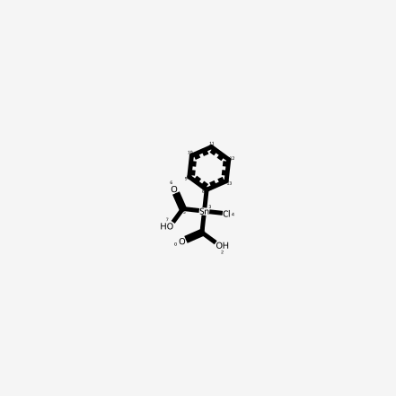 O=[C](O)[Sn]([Cl])([C](=O)O)[c]1ccccc1